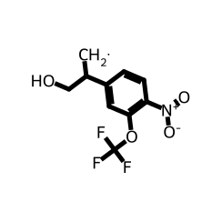 [CH2]C(CO)c1ccc([N+](=O)[O-])c(OC(F)(F)F)c1